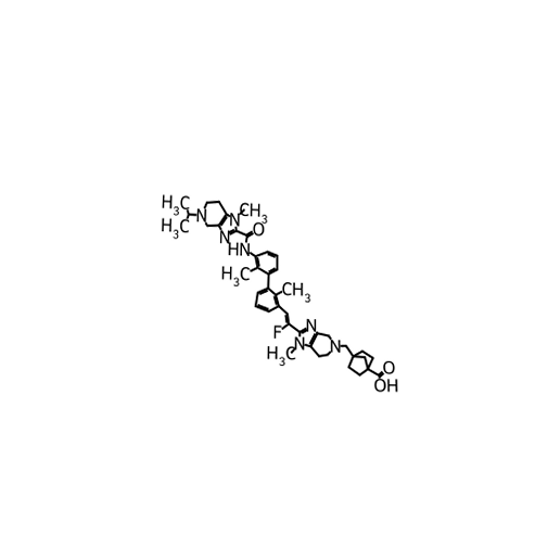 Cc1c(/C=C(\F)c2nc3c(n2C)CCN(CC24CCC(C(=O)O)(CC2)C4)C3)cccc1-c1cccc(NC(=O)c2nc3c(n2C)CCN(C(C)C)C3)c1C